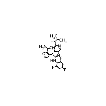 CC(C)Nc1ncc2nc(Nc3c(F)cc(F)cc3F)n(-c3ccoc3C(N)=O)c2n1